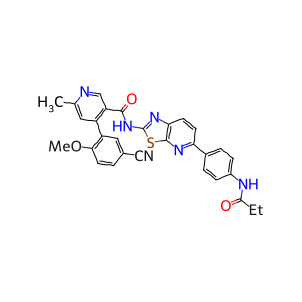 CCC(=O)Nc1ccc(-c2ccc3nc(NC(=O)c4cnc(C)cc4-c4cc(C#N)ccc4OC)sc3n2)cc1